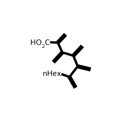 C=C(CCCCCC)C(=C)C(=C)C(=C)C(=C)C(=O)O